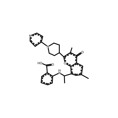 Cc1cc(C(C)Nc2ccccc2C(=O)O)c2oc(C3CCN(c4ccncc4)CC3)c(C)c(=O)c2c1